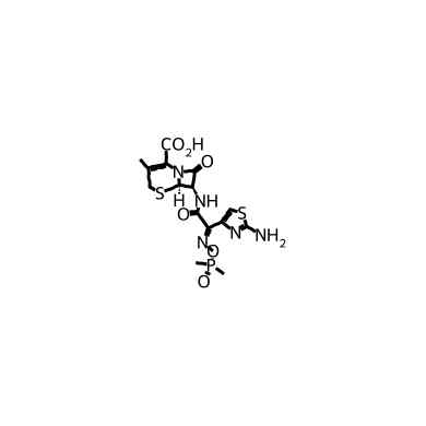 CC1=C(C(=O)O)N2C(=O)[C@@H](NC(=O)/C(=N/OP(C)(C)=O)c3csc(N)n3)[C@H]2SC1